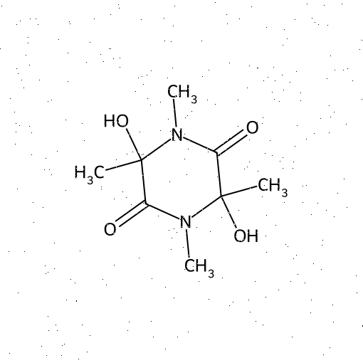 CN1C(=O)C(C)(O)N(C)C(=O)C1(C)O